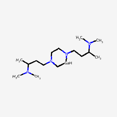 CC(CCN1CC[N](CCC(C)N(C)C)[GaH][CH2]1)N(C)C